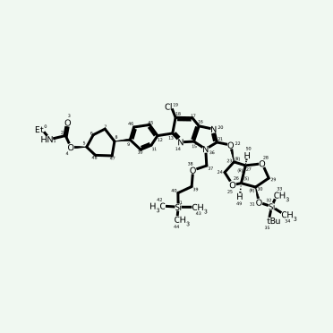 CCNC(=O)O[C@H]1CC[C@@H](c2ccc(-c3nc4c(cc3Cl)nc(O[C@@H]3CO[C@H]5[C@@H]3OC[C@H]5O[Si](C)(C)C(C)(C)C)n4COCC[Si](C)(C)C)cc2)CC1